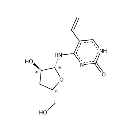 C=Cc1c[nH]c(=O)nc1N[C@@H]1O[C@H](CO)C[C@H]1O